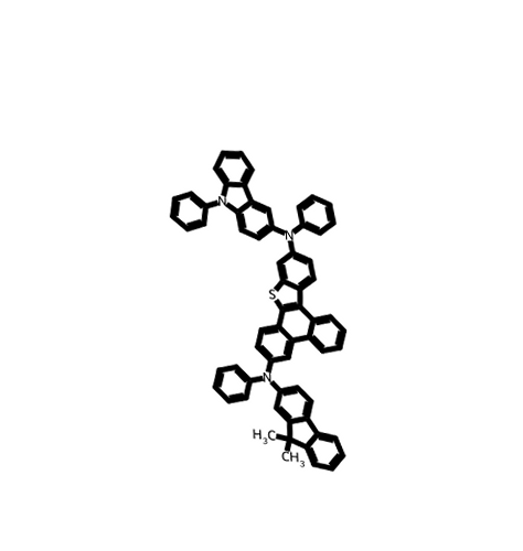 CC1(C)c2ccccc2-c2ccc(N(c3ccccc3)c3ccc4c(c3)c3ccccc3c3c5ccc(N(c6ccccc6)c6ccc7c(c6)c6ccccc6n7-c6ccccc6)cc5sc43)cc21